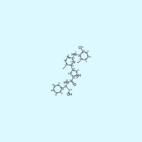 Cc1cnc(Nc2c(C)cccc2Cl)nc1-c1c[nH]c(C(=O)NC(CO)c2ccccc2)c1